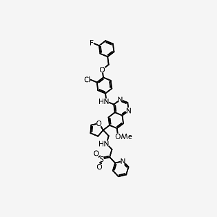 COc1cc2ncnc(Nc3ccc(OCc4cccc(F)c4)c(Cl)c3)c2cc1C1(CNCC(c2ccccn2)=S(=O)=O)CC=CO1